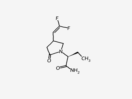 CC[C@@H](C(N)=O)N1CC(C=C(F)F)CC1=O